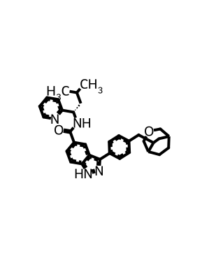 CC(C)C[C@H](NC(=O)c1ccc2[nH]nc(-c3ccc(CC4CC5CCC4COC5)cc3)c2c1)c1ccccn1